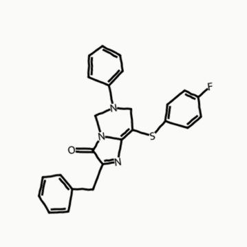 O=C1C(Cc2ccccc2)=NC2=C(Sc3ccc(F)cc3)CN(c3ccccc3)CN12